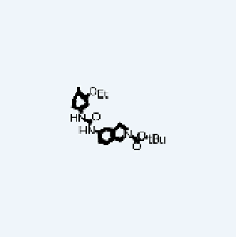 CCOc1cc(NC(=O)Nc2ccc3c(c2)CCN(C(=O)OC(C)(C)C)C3)ccc1C